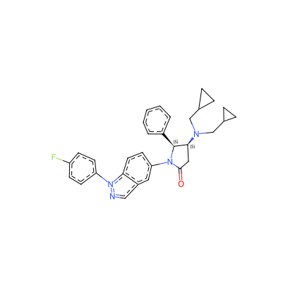 O=C1C[C@H](N(CC2CC2)CC2CC2)[C@H](c2ccccc2)N1c1ccc2c(cnn2-c2ccc(F)cc2)c1